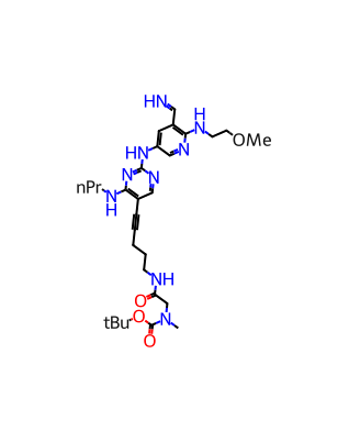 CCCNc1nc(Nc2cnc(NCCOC)c(C=N)c2)ncc1C#CCCCNC(=O)CN(C)C(=O)OC(C)(C)C